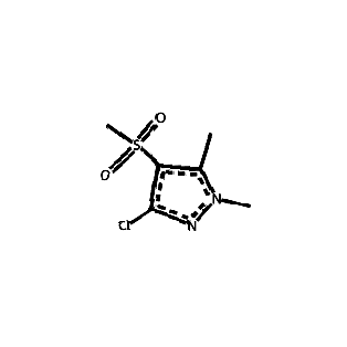 Cc1c(S(C)(=O)=O)c(Cl)nn1C